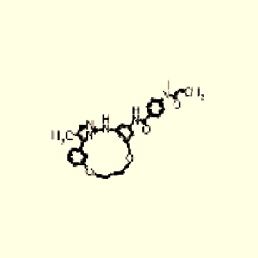 C=CC(=O)Nc1ccc(C(=O)Nc2cc3cc(c2)Nc2ncc(C)c(n2)-c2cccc(c2)OCC/C=C/COC3)cc1